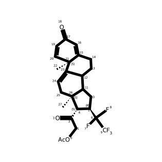 CC(=O)OCC(=O)[C@H]1[C@H](C(F)(F)C(F)(F)F)CC2C3CCC4=CC(=O)C=C[C@]4(C)C3=CC[C@@]21C